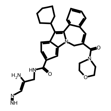 N=N/C=C(\N)CNC(=O)c1ccc2c(C3CCCCC3)c3n(c2c1)CC(C(=O)N1CCOCC1)=Cc1ccccc1-3